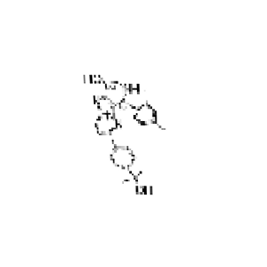 Cc1cc(F)ccc1[C@@H]1NC[C@H](O)c2nc3ccc(-c4ccc(C(C)(C)O)cc4)nn3c21